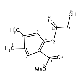 COC(=O)c1cc(C)c(C)cc1SC(=O)CO